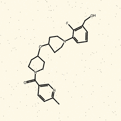 Cc1ccc(C(=O)N2CCC(OC3CCN(c4cccc(CO)c4F)CC3)CC2)cn1